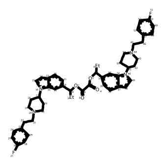 CCC(OC(=O)C(=O)OC(CC)c1ccc2ccn(C3CCN(CCc4ccc(F)cc4)CC3)c2c1)c1ccc2ccn(C3CCN(CCc4ccc(F)cc4)CC3)c2c1